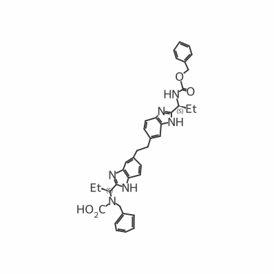 CC[C@H](NC(=O)OCc1ccccc1)c1nc2ccc(CCc3ccc4[nH]c([C@H](CC)N(Cc5ccccc5)C(=O)O)nc4c3)cc2[nH]1